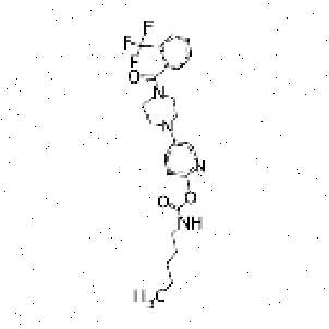 CCCCCNC(=O)Oc1ccc(N2CCN(C(=O)c3ccccc3C(F)(F)F)CC2)cn1